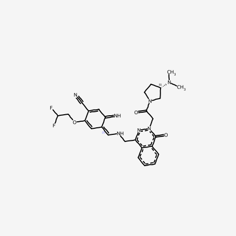 CN(C)[C@H]1CCN(C(=O)Cn2nc(CN/C=C3/C=C(OCC(F)F)C(C#N)=CC3=N)c3ccccc3c2=O)C1